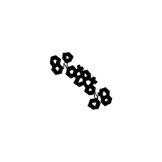 CC1(C)c2cc(N(c3ccccc3)c3cccc4ccccc34)ccc2-c2ccc3c4c(ccc1c24)C(C)(C)c1cc(N(c2ccccc2)c2cccc4ccccc24)ccc1-3